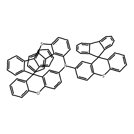 c1ccc2c(c1)Oc1ccc(N(c3ccc4c(c3)C3(c5ccccc5S4)c4ccccc4-c4ccccc43)c3cccc4sc5ccccc5c34)cc1C21c2ccccc2-c2ccccc21